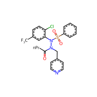 CCCC(=O)N(Cc1ccncc1)N(c1cc(C(F)(F)F)ccc1Cl)S(=O)(=O)c1ccccc1